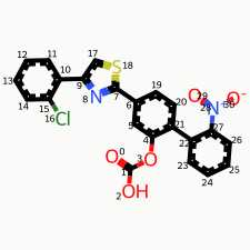 O=C(O)Oc1cc(-c2nc(-c3ccccc3Cl)cs2)ccc1-c1ccccc1[N+](=O)[O-]